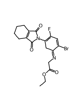 CCOC(=O)CN=C1CC(N2C(=O)C3=C(CCCC3)C2=O)=C(F)C=C1Br